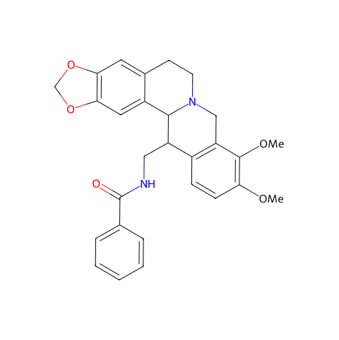 COc1ccc2c(c1OC)CN1CCc3cc4c(cc3C1C2CNC(=O)c1ccccc1)OCO4